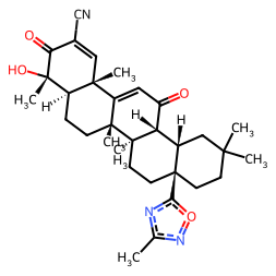 Cc1noc([C@]23CCC(C)(C)C[C@H]2[C@H]2C(=O)C=C4[C@@]5(C)C=C(C#N)C(=O)[C@@](C)(O)[C@@H]5CC[C@@]4(C)[C@]2(C)CC3)n1